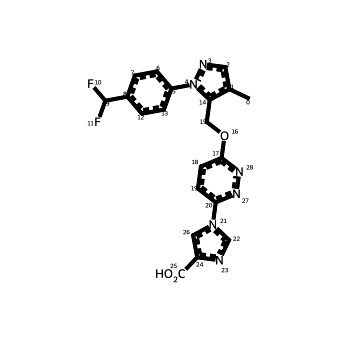 Cc1cnn(-c2ccc(C(F)F)cc2)c1COc1ccc(-n2cnc(C(=O)O)c2)nn1